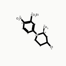 CCOC(=O)c1cc(N2CCC(CC)C[C@@H]2C)ccc1[N+](=O)[O-]